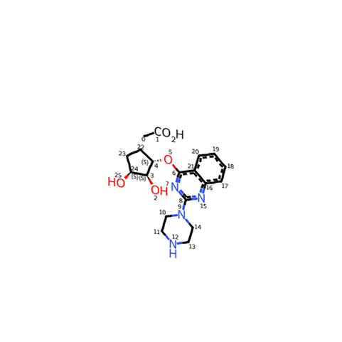 CC(=O)O.O[C@@H]1[C@@H](Oc2nc(N3CCNCC3)nc3ccccc23)CC[C@@H]1O